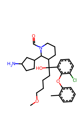 COCCCCC(O)(c1cccc(Cl)c1Oc1ccccc1C)C1CCCN(C=O)C1C1CCC(N)C1